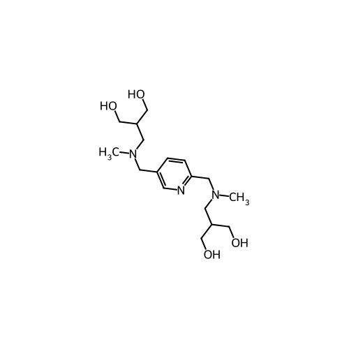 CN(Cc1ccc(CN(C)CC(CO)CO)nc1)CC(CO)CO